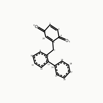 O=C1C=CC(=O)C(Cc2ccccc2-c2ccccc2)=C1